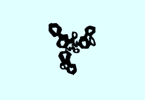 O=c1c2cc(-c3ccccc3)ccc2n(-c2ccc3oc4ccccc4c3c2)c(=O)n1-c1ccc2oc3ccccc3c2c1